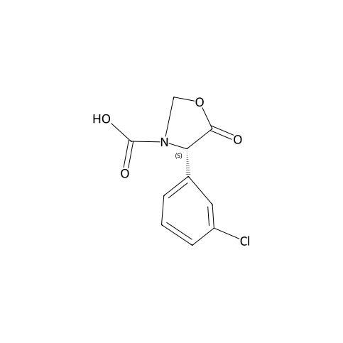 O=C1OCN(C(=O)O)[C@H]1c1cccc(Cl)c1